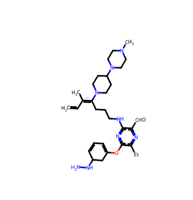 C=C/C(C)=C(\CCCNc1nc(OC2=CC=CC(NN)C2)c(CC)nc1C=O)N1CCC(N2CCN(C)CC2)CC1